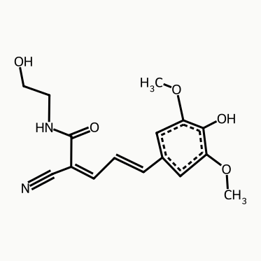 COc1cc(C=CC=C(C#N)C(=O)NCCO)cc(OC)c1O